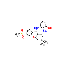 CC1(C)CC(=O)C2=C(C1)Nc1c(O)cccc1NC2c1ccc(S(C)(=O)=O)cc1